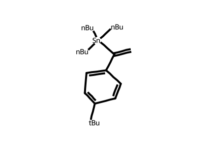 C=[C](c1ccc(C(C)(C)C)cc1)[Sn]([CH2]CCC)([CH2]CCC)[CH2]CCC